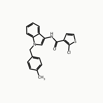 Cc1ccc(Cn2cc(NC(=O)c3ccsc3Cl)c3ccccc32)cc1